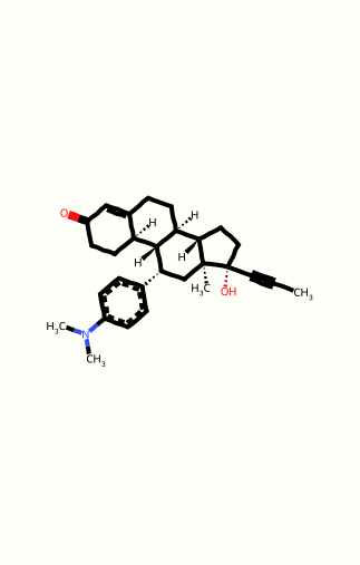 CC#C[C@]1(O)CC[C@H]2[C@@H]3CCC4=CC(=O)CC[C@@H]4[C@H]3[C@@H](c3ccc(N(C)C)cc3)C[C@@]21C